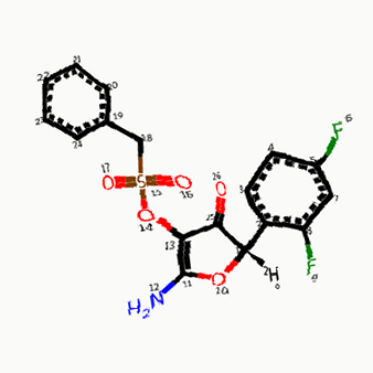 [2H][C@@]1(c2ccc(F)cc2F)OC(N)=C(OS(=O)(=O)Cc2ccccc2)C1=O